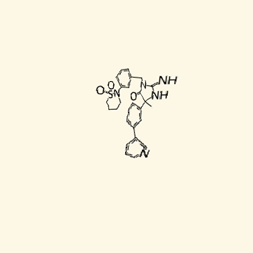 CC1(c2cccc(-c3cccnc3)c2)NC(=N)N(Cc2cccc(N3CCCCS3(=O)=O)c2)C1=O